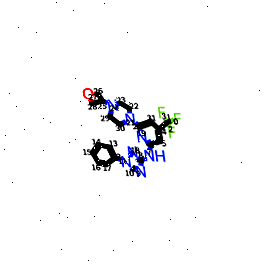 FC(F)(F)c1cc(Nc2ncn(-c3ccccc3)n2)nc(N2CCN(C3COC3)CC2)c1